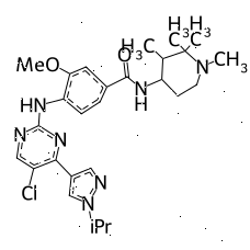 COc1cc(C(=O)NC2CCN(C)C(C)(C)C2C)ccc1Nc1ncc(Cl)c(-c2cnn(C(C)C)c2)n1